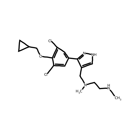 CNCCN(C)Cc1c[nH]nc1-c1cc(Cl)c(OCC2CC2)c(Cl)c1